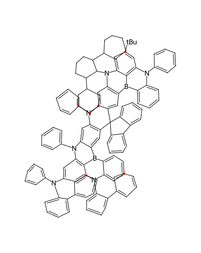 CC(C)(C)c1cc2c3c(c1)N(C1C(C4CCCCC4)CCCC1C1CCCCC1)c1cc4c(cc1B3c1ccccc1N2c1ccccc1)C1(c2ccccc2-c2ccccc21)c1cc2c(cc1N4c1ccccc1)N(c1ccccc1)c1cc(N(c3ccccc3)c3ccccc3-c3ccccc3)cc3c1B2c1ccccc1N3c1ccccc1-c1ccccc1